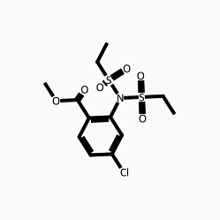 CCS(=O)(=O)N(c1cc(Cl)ccc1C(=O)OC)S(=O)(=O)CC